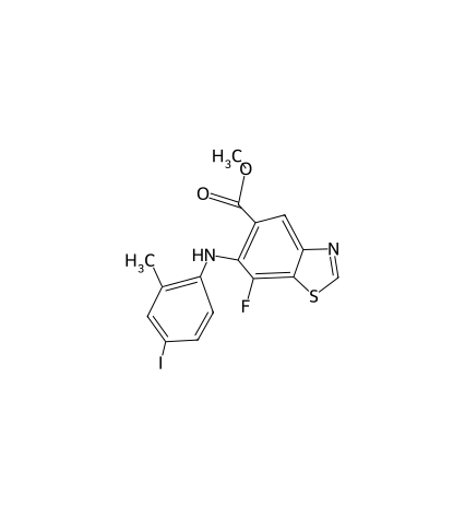 COC(=O)c1cc2ncsc2c(F)c1Nc1ccc(I)cc1C